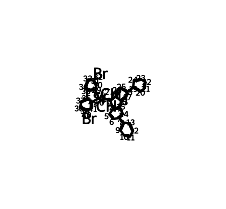 C[Si](C)(C1c2ccc(-c3ccccc3)cc2-c2cc(-c3ccccc3)ccc21)C1c2cc(Br)ccc2-c2ccc(Br)cc21